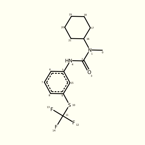 CN(C(=O)Nc1cccc(SC(F)(F)F)c1)C1CCCCC1